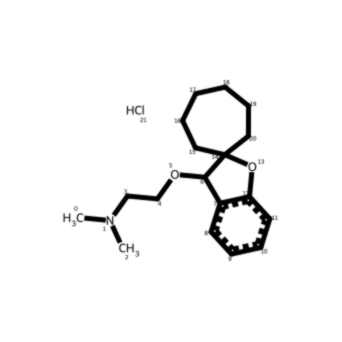 CN(C)CCOC1c2ccccc2OC12CCCCCC2.Cl